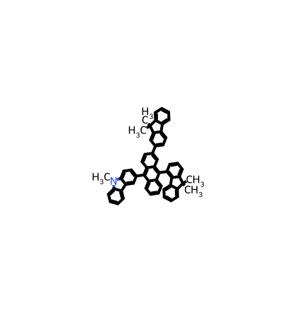 Cn1c2ccccc2c2cc(-c3c4ccccc4c(-c4cccc5c4-c4ccccc4C5(C)C)c4cc(-c5ccc6c(c5)C(C)(C)c5ccccc5-6)ccc34)ccc21